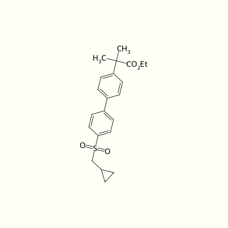 CCOC(=O)C(C)(C)c1ccc(-c2ccc(S(=O)(=O)CC3CC3)cc2)cc1